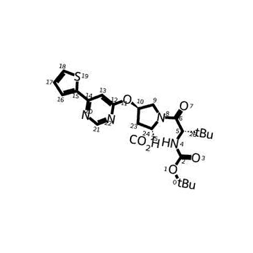 CC(C)(C)OC(=O)N[C@H](C(=O)N1C[C@H](Oc2cc(-c3cccs3)ncn2)C[C@H]1C(=O)O)C(C)(C)C